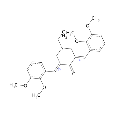 CCN1C/C(=C\c2cccc(OC)c2OC)C(=O)/C(=C/c2cccc(OC)c2OC)C1